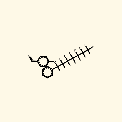 O=Cc1ccc(OC(F)(c2ccccc2)C(F)(F)C(F)(F)C(F)(F)C(F)(F)C(F)(F)C(F)(F)F)cc1